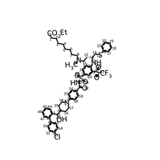 CCOC(=O)CCCCCCCCN(C)CC[C@H](CSc1ccccc1)Nc1ccc(S(=O)(=O)NC(=O)c2ccc(N3CCC([C@@H](O)c4ccccc4-c4ccc(Cl)cc4)CC3)cc2)cc1S(=O)(=O)C(F)(F)F